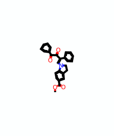 COC(=O)c1ccc2c(c1)CCN2/C=C(/C(=O)C(=O)c1ccccc1)c1ccccc1